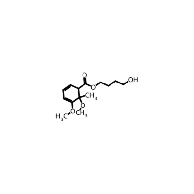 COC1=CC=CC(C(=O)OCCCCO)C1(C)OC